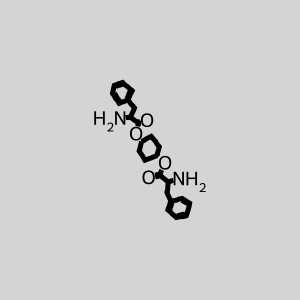 NC(Cc1ccccc1)C(=O)OC1CCC(OC(=O)C(N)Cc2ccccc2)CC1